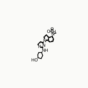 CN(c1cccc2c1ccn2-c1ccnc(NC2CCC(O)CC2)n1)[SH](=O)=O